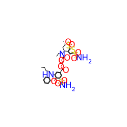 CCCCNc1cc(C(=O)OCOC(=O)N(CC)[C@H]2C[C@H](C)S(=O)(=O)c3sc(S(N)(=O)=O)cc32)cc(S(N)(=O)=O)c1Oc1ccccc1